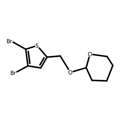 Brc1cc(COC2CCCCO2)sc1Br